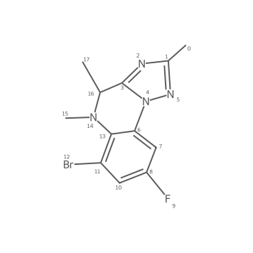 Cc1nc2n(n1)-c1cc(F)cc(Br)c1N(C)C2C